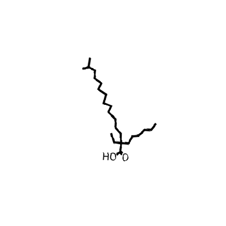 CCCCCCC(CC)(CCCCCCCCCCCC(C)C)C(=O)O